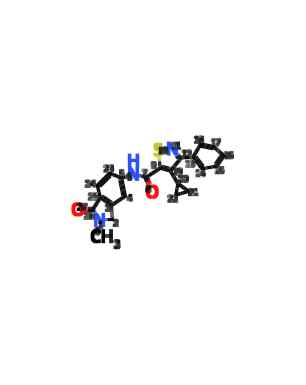 CN1Cc2cc(NC(=O)c3snc(-c4ccccc4)c3C3CC3)ccc2C1=O